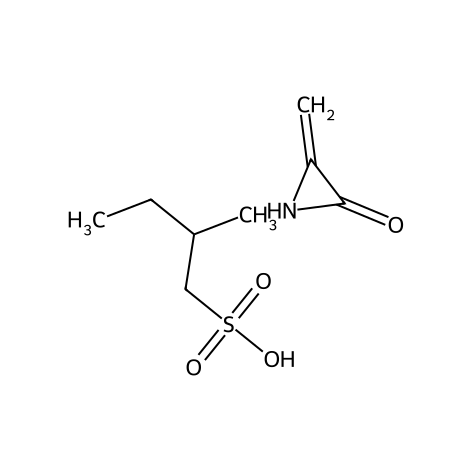 C=C1NC1=O.CCC(C)CS(=O)(=O)O